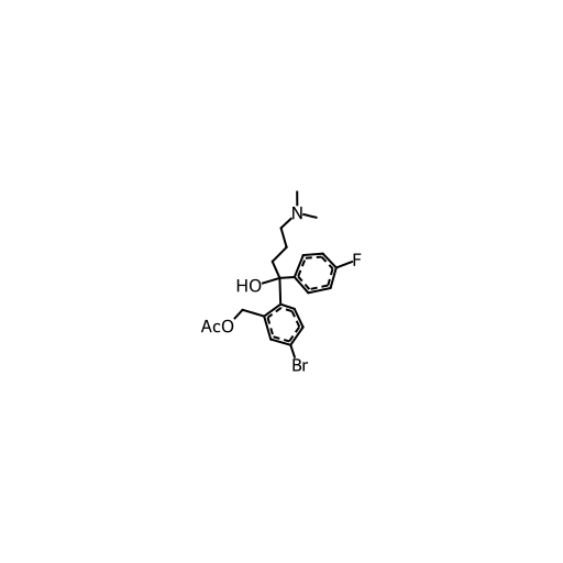 CC(=O)OCc1cc(Br)ccc1C(O)(CCCN(C)C)c1ccc(F)cc1